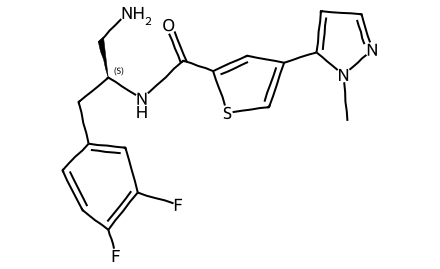 Cn1nccc1-c1csc(C(=O)N[C@H](CN)Cc2ccc(F)c(F)c2)c1